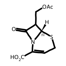 CC(=O)OCC1C(=O)N2C(C(=O)O)=CCS[C@@H]12